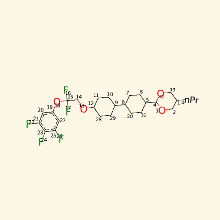 CCCC1COC(C2CCC(C3CCC(OCC(F)(F)Oc4cc(F)c(F)c(F)c4)CC3)CC2)OC1